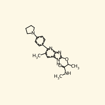 CNC(=O)C(C)Oc1nc2nc(-c3ccc(N4CCCC4)cc3)c(C)cc2[nH]1